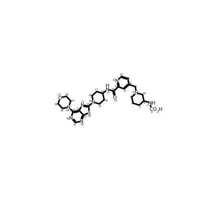 O=C(O)NC1CCCN(Cc2ccnc(C(=O)NC3CCN(c4nc5c(N6CCOCC6)ncnc5s4)CC3)c2)C1